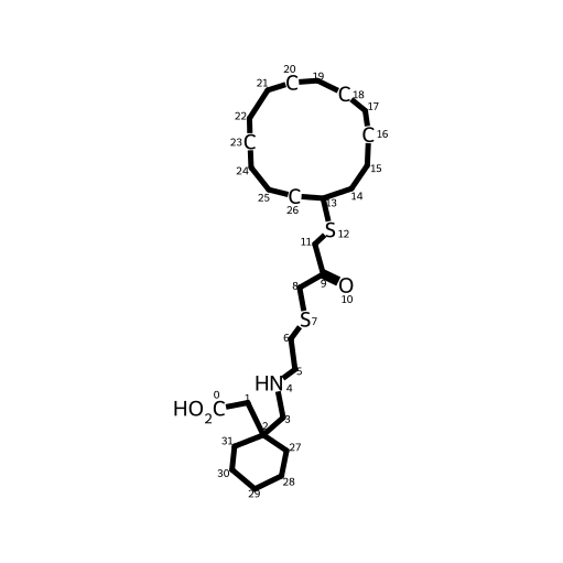 O=C(O)CC1(CNCCSCC(=O)CSC2CCCCCCCCCCCCC2)CCCCC1